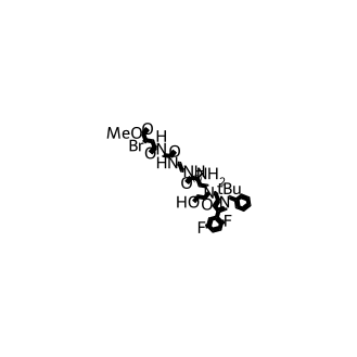 COC(=O)C(Br)CC(=O)NCC(=O)NCCNC(=O)[C@@H](N)CCN(C(=O)CO)C(c1cc(-c2cc(F)ccc2F)cn1Cc1ccccc1)C(C)(C)C